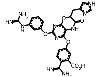 N=C(N)Nc1cccc(Oc2nc(Oc3ccc(C(=N)N)c(C(=O)O)c3)c3c(n2)OC(Cc2c[nH]cn2)C(=O)N3)c1